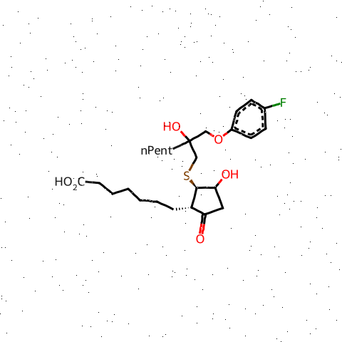 CCCCCC(O)(COc1ccc(F)cc1)CS[C@H]1C(O)CC(=O)[C@@H]1CCCCCCC(=O)O